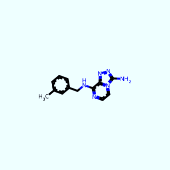 Cc1cccc(CNc2nccn3c(N)nnc23)c1